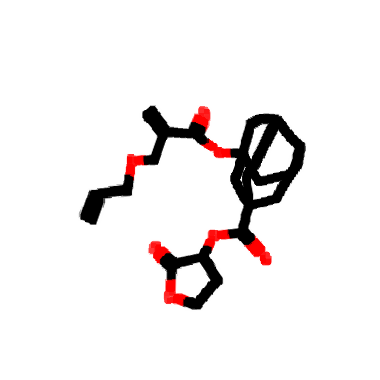 C=CCOCC(=C)C(=O)OC12CC3CC(C1)CC(C(=O)OC1CCOC1=O)(C3)C2